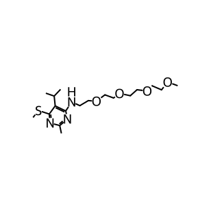 COCCOCCOCCOCCNc1nc(C)nc(SC)c1C(C)C